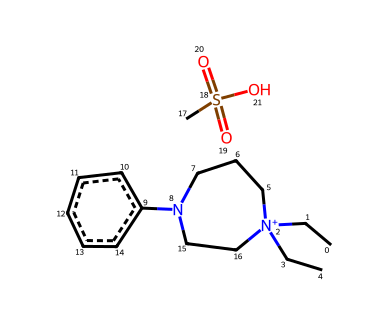 CC[N+]1(CC)CCCN(c2ccccc2)CC1.CS(=O)(=O)O